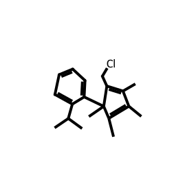 CC1=C(C)C(C)(c2ccccc2C(C)C)C(CCl)=C1C